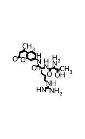 Cc1cc(=O)oc2cc(NC(=O)[C@H](CCCNC(=N)N)NC(=O)[C@@H](N)[C@@H](C)O)ccc12